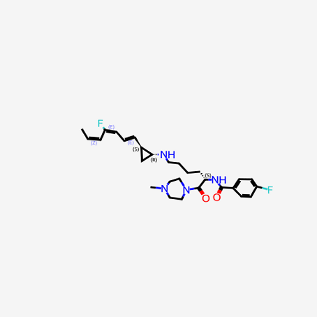 C\C=C/C(F)=C\C=C\[C@@H]1C[C@H]1NCCCC[C@H](NC(=O)c1ccc(F)cc1)C(=O)N1CCN(C)CC1